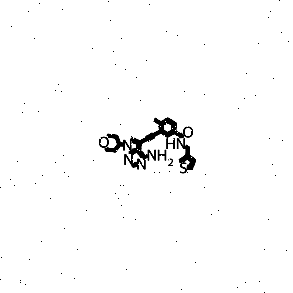 Cc1ccc(C(=O)NCc2ccsc2)cc1C#Cc1cn(C2CCOCC2)c2ncnc(N)c12